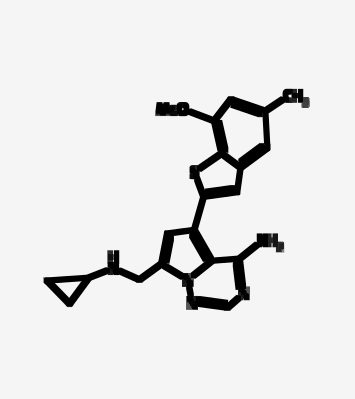 COc1cc(C)cc2cc(-c3cc(CNC4CC4)n4ncnc(N)c34)sc12